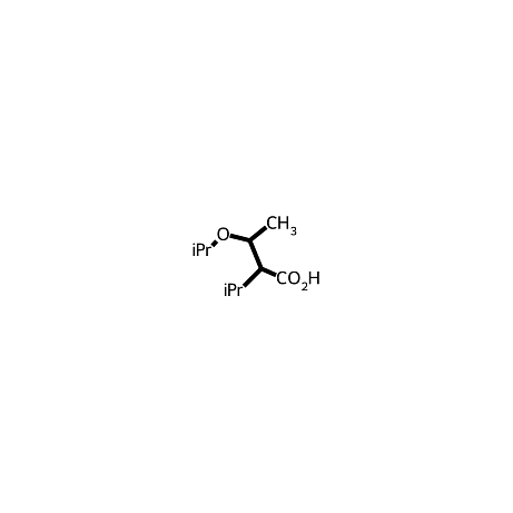 CC(C)OC(C)C(C(=O)O)C(C)C